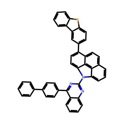 c1ccc(-c2ccc(-c3nc(-n4c5cccc6ccc7c(-c8ccc9sc%10ccccc%10c9c8)ccc4c7c65)nc4ccccc34)cc2)cc1